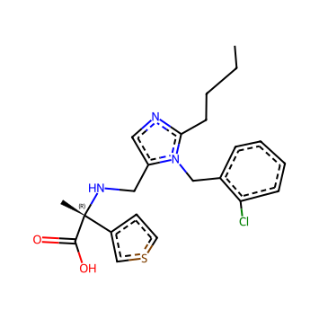 CCCCc1ncc(CN[C@@](C)(C(=O)O)c2ccsc2)n1Cc1ccccc1Cl